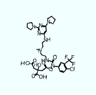 CN(CCNC(=O)N(OC(=O)CC(O)(CC(=O)O)C(=O)O)c1ccc(Cl)c(C(F)(F)F)c1)CCNc1cc(N2CCCC2)nc(N2CCCC2)n1